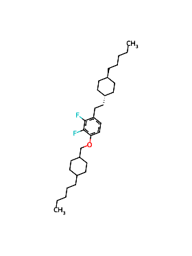 CCCCCC1CCC(COc2ccc(CC[C@H]3CC[C@H](CCCCC)CC3)c(F)c2F)CC1